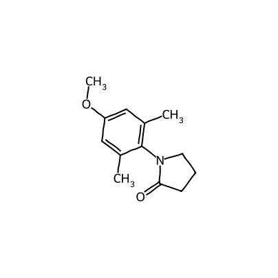 COc1cc(C)c(N2CCCC2=O)c(C)c1